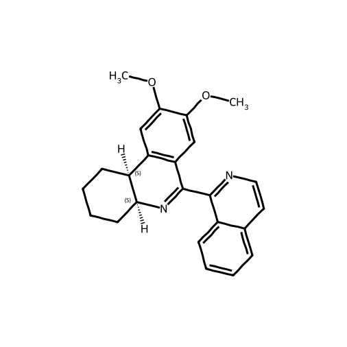 COc1cc2c(cc1OC)[C@@H]1CCCC[C@@H]1N=C2c1nccc2ccccc12